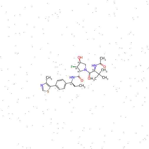 CC[C@H](NC(=O)[C@@H]1[C@@H](F)[C@@H](O)CN1C(=O)[C@@H](NC(C)=O)C(C)(C)C)c1ccc(-c2scnc2C)cc1